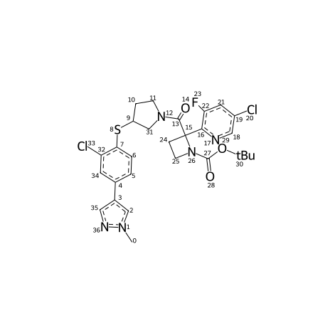 Cn1cc(-c2ccc(SC3CCN(C(=O)C4(c5ncc(Cl)cc5F)CCN4C(=O)OC(C)(C)C)C3)c(Cl)c2)cn1